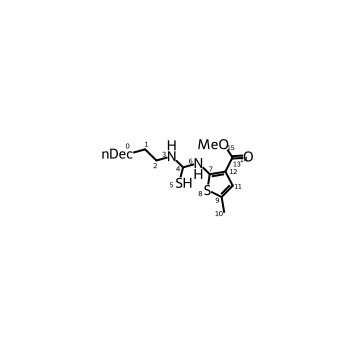 CCCCCCCCCCCCNC(S)Nc1sc(C)cc1C(=O)OC